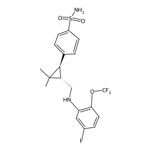 CC1(C)[C@@H](CNc2cc(F)ccc2OC(F)(F)F)[C@@H]1c1ccc(S(N)(=O)=O)cc1